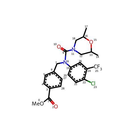 COC(=O)c1ccc(CN(C(=O)N2CC(C)OC(C)C2)c2ccc(Cl)c(C(F)(F)F)c2)cc1